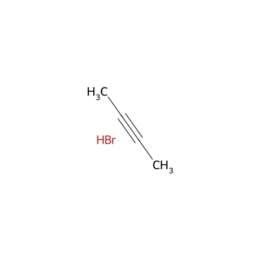 Br.CC#CC